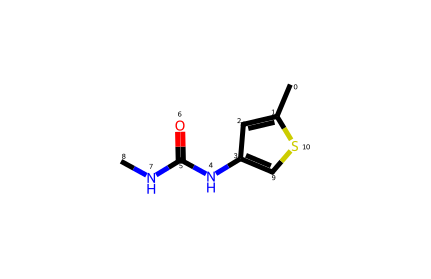 [CH2]c1cc(NC(=O)NC)cs1